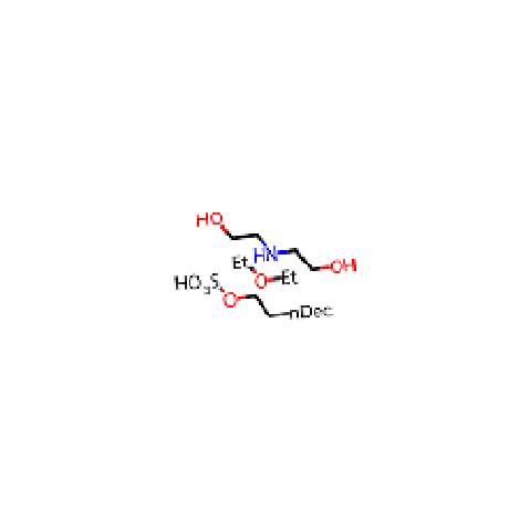 CCCCCCCCCCCCOS(=O)(=O)O.CCOCC.OCCNCCO